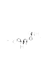 NC(=O)c1cccc(-c2ccc(Nc3cccc(OC(F)(F)F)c3)nc2)c1